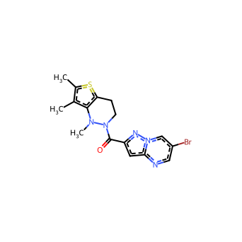 Cc1sc2c(c1C)N(C)N(C(=O)c1cc3ncc(Br)cn3n1)CC2